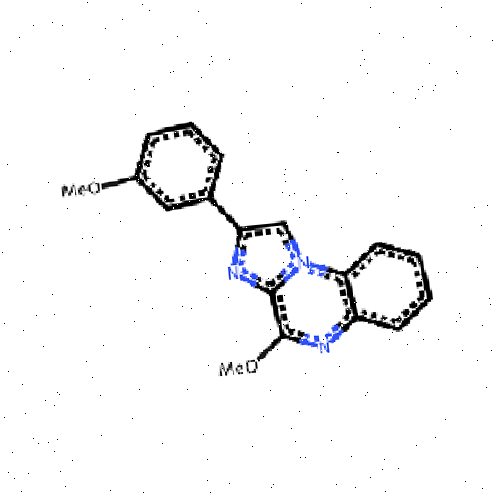 COc1cccc(-c2cn3c(n2)c(OC)nc2ccccc23)c1